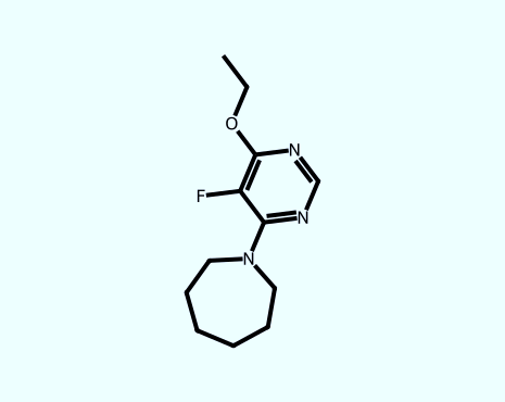 CCOc1ncnc(N2CCCCCC2)c1F